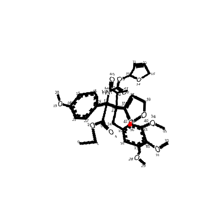 CCOC(=O)C(NC(=O)OC1C=CCO1)(c1ccc(OC)cc1)C(Cc1cc(OC)c(OC)c(OC)c1)(C1=CCOO1)C(C)C=O